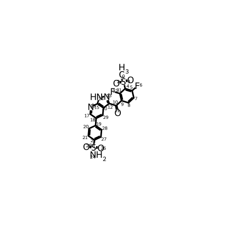 CS(=O)(=O)c1c(F)ccc(C(=O)c2n[nH]c3ncc(-c4ccc(S(N)(=O)=O)cc4)cc23)c1F